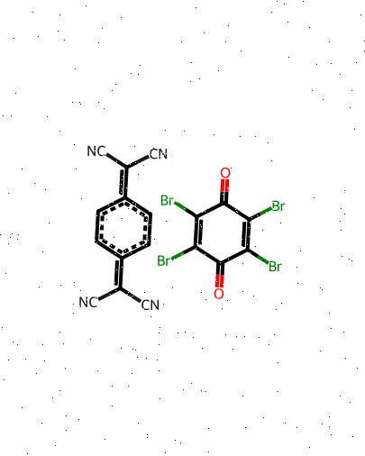 N#CC(C#N)=c1ccc(=C(C#N)C#N)cc1.O=C1C(Br)=C(Br)C(=O)C(Br)=C1Br